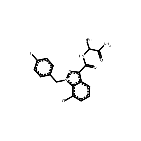 CC(C)(C)C(NC(=O)c1nn(Cc2ccc(F)cc2)c2c(Cl)cccc12)C(N)=O